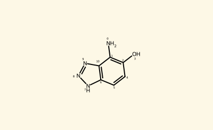 Nc1c(O)ccc2[nH]nnc12